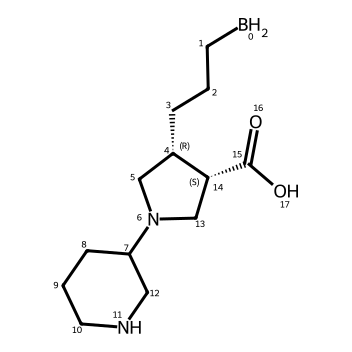 BCCC[C@H]1CN(C2CCCNC2)C[C@H]1C(=O)O